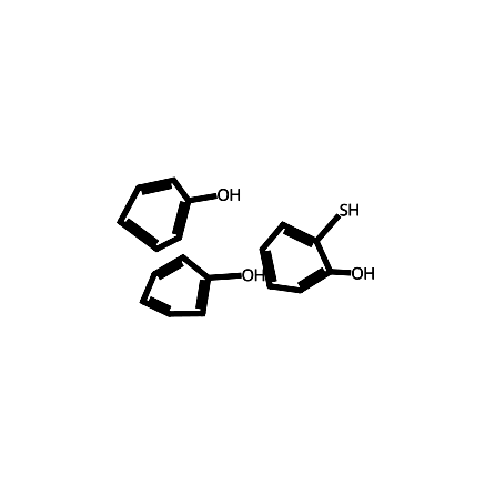 Oc1ccccc1.Oc1ccccc1.Oc1ccccc1S